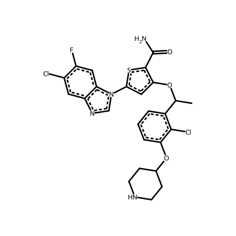 CC(Oc1cc(-n2cnc3cc(Cl)c(F)cc32)sc1C(N)=O)c1cccc(OC2CCNCC2)c1Cl